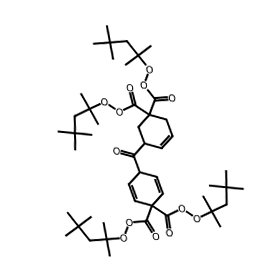 CC(C)(C)CC(C)(C)OOC(=O)C1(C(=O)OOC(C)(C)CC(C)(C)C)C=CC(C(=O)C2C=CCC(C(=O)OOC(C)(C)CC(C)(C)C)(C(=O)OOC(C)(C)CC(C)(C)C)C2)C=C1